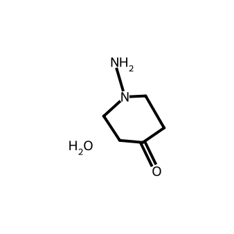 NN1CCC(=O)CC1.O